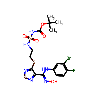 CC(C)(C)OC(=O)NS(=O)(=O)NCCSc1nsnc1/C(=N/O)Nc1ccc(F)c(Br)c1